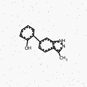 Cc1n[nH]c2cc(-c3ccccc3O)ccc12